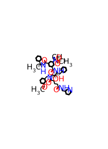 COc1cccc(CN(C[C@@H](O)[C@H](Cc2ccccc2)NC(=O)c2cc(C(=O)N[C@H](C)c3ccccc3)cc(N(C)S(C)(=O)=O)c2)C(=O)CCCC(=O)NCc2cccnc2)c1